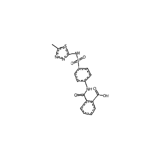 Cc1nnc(NS(=O)(=O)c2ccc(NC(=O)c3ccccc3C(=O)O)cc2)s1